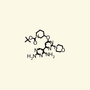 CC(C)(C)OC(=O)N1CCCC(Oc2cc(-c3cnc(N)nc3N)nc(N3CCOCC3)n2)C1